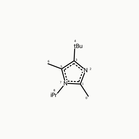 Cc1nc(C(C)(C)C)c(C)n1C(C)C